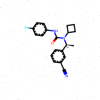 C[C@@H](c1cccc(C#N)c1)N(C(=O)Nc1ccc(F)cc1)C1CCC1